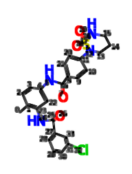 Cc1ccc(NC(=O)c2ccc(N3CCCNS3(=O)=O)cc2)cc1NC(=O)c1cccc(Cl)c1